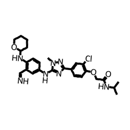 CC(C)NC(=O)COc1ccc(-c2nc(Nc3ccc(NC4CCCCO4)c(C=N)c3)n(C)n2)cc1Cl